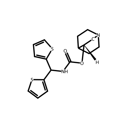 O=C(NC(c1cccs1)c1cccs1)O[C@H]1CN2CCC1CC2